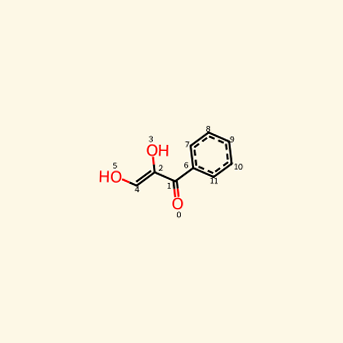 O=C(C(O)=CO)c1ccccc1